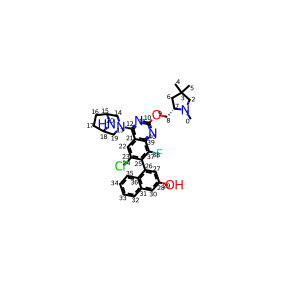 CN1CC(C)(C)C[C@H]1COc1nc(N2CC3CCC(C2)N3)c2cc(Cl)c(-c3cc(O)cc4ccccc34)c(F)c2n1